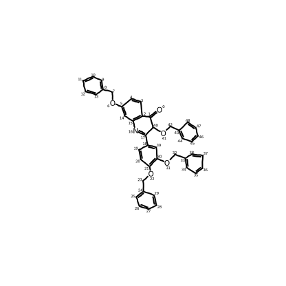 O=C1c2ccc(OCc3ccccc3)cc2N=C(c2ccc(OCc3ccccc3)c(OCc3ccccc3)c2)C1OCc1ccccc1